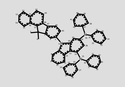 CC1(C)c2cc(-n3c4ccccc4c4c(N(c5ccccc5)c5ccccc5)cc(N(c5ccccc5)c5ccccc5)cc43)ccc2-c2ccc3ccccc3c21